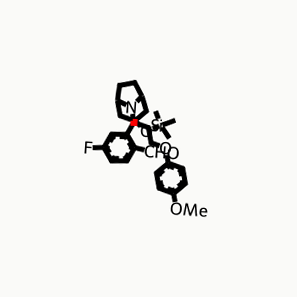 COc1ccc(OCCCN2C3CCC2CC(O[Si](C)(C)C)(c2cc(F)ccc2C=O)C3)cc1